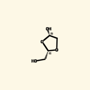 OC[C@H]1OC[C@@H](O)O1